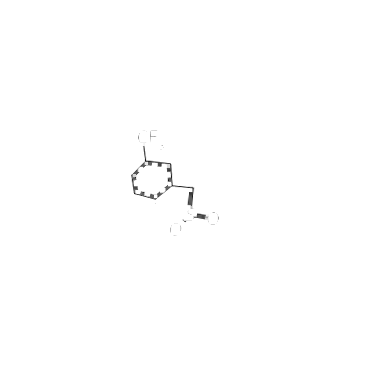 O=S(=O)=Cc1[c]ccc(C(F)(F)F)c1